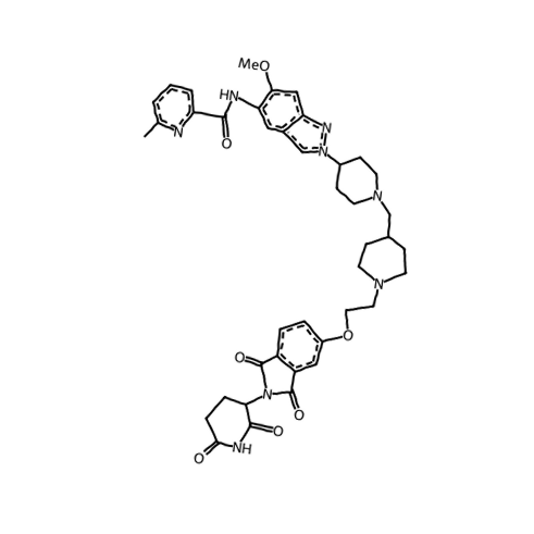 COc1cc2nn(C3CCN(CC4CCN(CCOc5ccc6c(c5)C(=O)N(C5CCC(=O)NC5=O)C6=O)CC4)CC3)cc2cc1NC(=O)c1cccc(C)n1